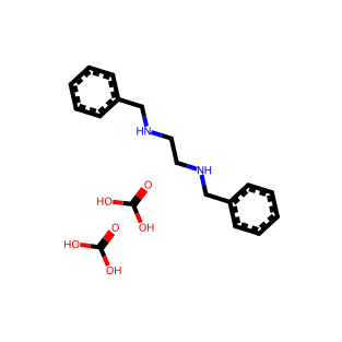 O=C(O)O.O=C(O)O.c1ccc(CNCCNCc2ccccc2)cc1